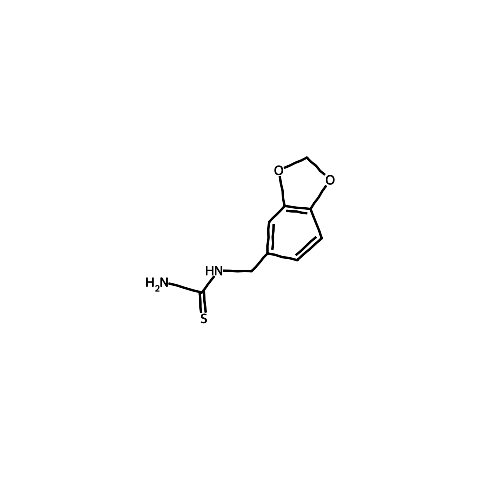 NC(=S)NCc1ccc2c(c1)OCO2